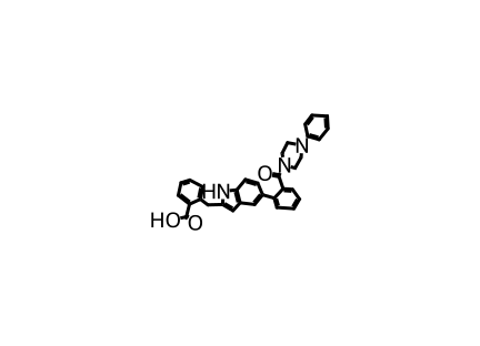 O=C(O)c1ccccc1Cc1cc2cc(-c3ccccc3C(=O)N3CCN(c4ccccc4)CC3)ccc2[nH]1